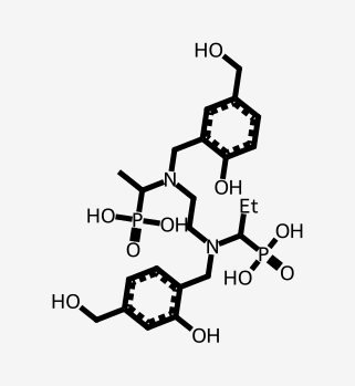 CCC(N(CCN(Cc1cc(CO)ccc1O)C(C)P(=O)(O)O)Cc1ccc(CO)cc1O)P(=O)(O)O